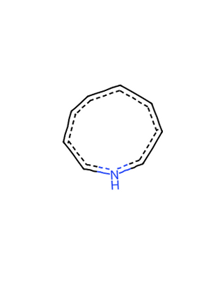 c1cccc[nH]ccc1